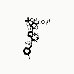 CC1(C)O[C@@H]2[C@H](O1)[C@@H](C(=O)O)O[C@H]2c1ccc2c(NCc3cccc(I)c3)ncnn12